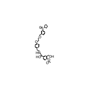 CC(=O)Oc1ccc([C@@H](O)CNCCc2ccc(OCCOCc3cccc([S+]([O-])C4CCCC4)c3)cc2)cc1CO